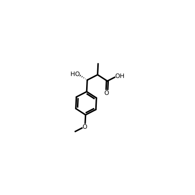 COc1ccc([C@H](O)C(C)C(=O)O)cc1